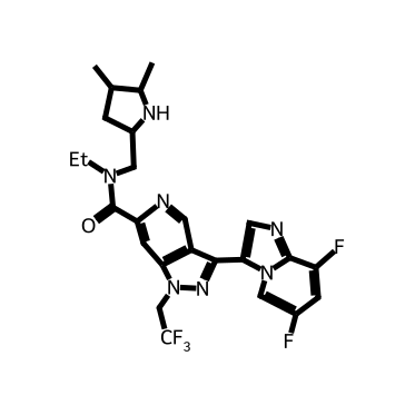 CCN(CC1CC(C)C(C)N1)C(=O)c1cc2c(cn1)c(-c1cnc3c(F)cc(F)cn13)nn2CC(F)(F)F